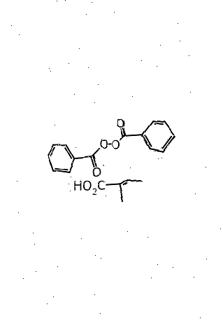 CC=C(C)C(=O)O.O=C(OOC(=O)c1ccccc1)c1ccccc1